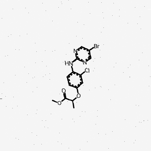 COC(=O)C(C)Oc1ccc(Nc2ncc(Br)cn2)c(Cl)c1